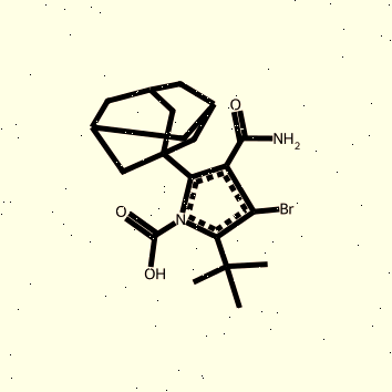 CC(C)(C)c1c(Br)c(C(N)=O)c(C23CC4CC(CC(C4)C2)C3)n1C(=O)O